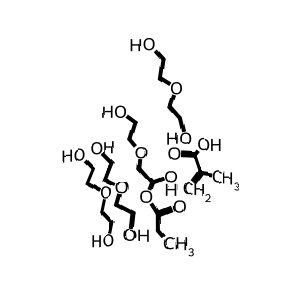 C=C(C)C(=O)O.CCC(=O)OC(O)COCCO.OCCOCCO.OCCOCCO.OCCOCCO